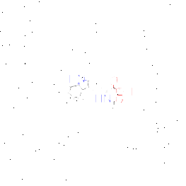 CC(=O)N[C@@H](CCc1c[nH]c2ccccc12)C(=O)O